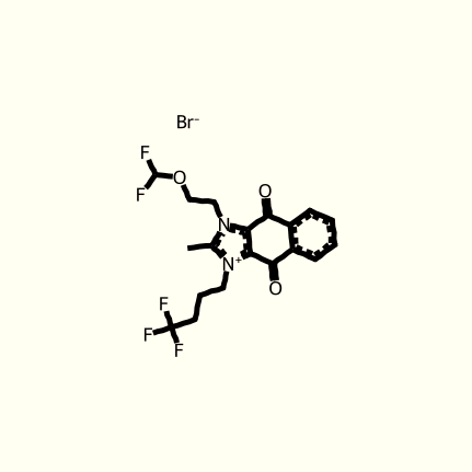 Cc1n(CCOC(F)F)c2c([n+]1CCCC(F)(F)F)C(=O)c1ccccc1C2=O.[Br-]